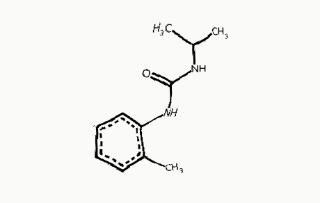 Cc1cc[c]cc1NC(=O)NC(C)C